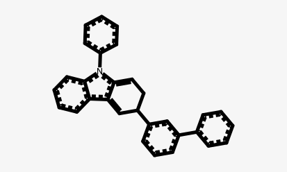 C1=c2c(n(-c3ccccc3)c3ccccc23)=CCC1c1cccc(-c2ccccc2)c1